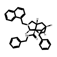 O=C(NCc1ccccc1)[C@]12NC[C@H]3C[C@H]1CN(Cc1cccc4ccccc14)[C@H]2[C@@H]3Cc1ccccc1